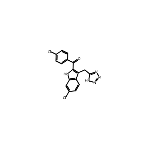 O=C(c1ccc(Cl)cc1)c1[nH]c2cc(Cl)ccc2c1Cc1nnn[nH]1